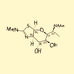 CNC1=N[C@@H]2[C@@H](O)[C@H](O)[C@H]([C@H](C)NC)O[C@@H]2S1